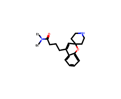 CCN(CC)C(=O)CCCC1=CC2(CCNCC2)Oc2ccccc21